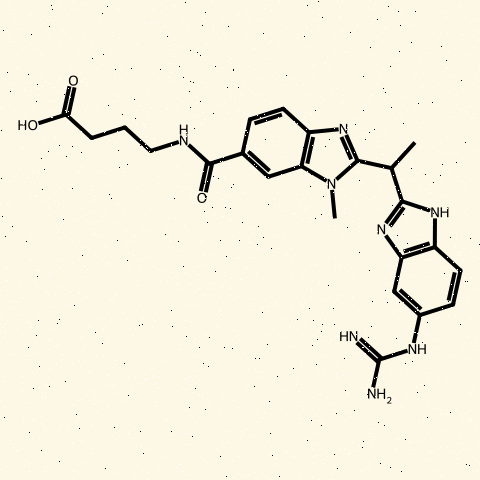 CC(c1nc2cc(NC(=N)N)ccc2[nH]1)c1nc2ccc(C(=O)NCCCC(=O)O)cc2n1C